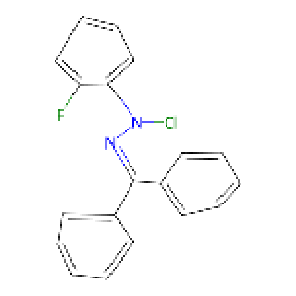 Fc1ccccc1N(Cl)N=C(c1ccccc1)c1ccccc1